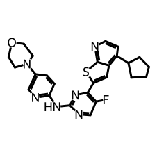 Fc1cnc(Nc2ccc(N3CCOCC3)cn2)nc1-c1cc2c(C3CCCC3)ccnc2s1